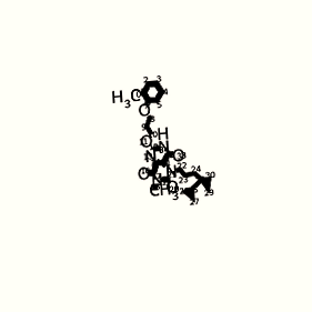 Cc1ccccc1OCCCOc1nc2c(=O)n(C)c(=O)n(CCCC3(C4CC4)CC3)c2c(=O)[nH]1